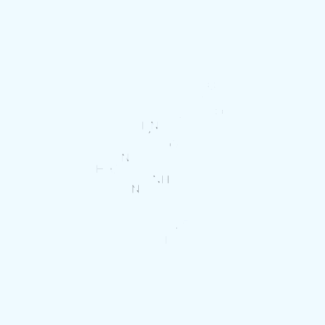 CN1CC[C@@H](NC(=O)c2ccc3c(c2)OCCO3)C[C@@H]1c1nc2ccc(C(F)(F)F)cc2[nH]1